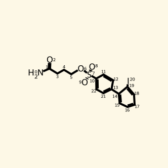 NC(=O)CCCOS(=O)(=O)c1ccc(-c2ccccc2I)cc1